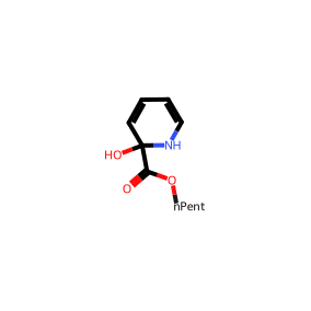 CCCCCOC(=O)C1(O)C=CC=CN1